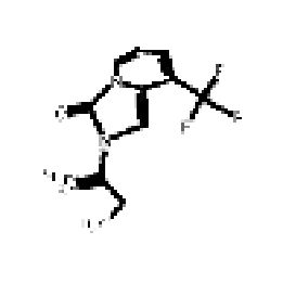 C=C(CC)n1cc2c(C(F)(F)F)cccn2c1=O